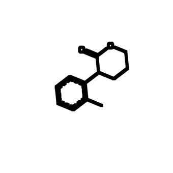 Cc1ccccc1C1CCCOC1=O